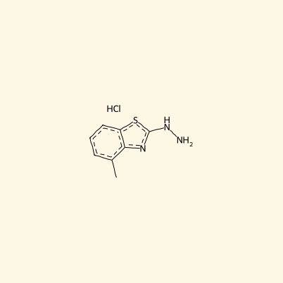 Cc1cccc2sc(NN)nc12.Cl